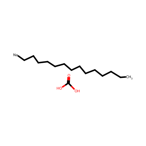 CCCCCCCCCCCCC[CH2][Na].O=C(O)O